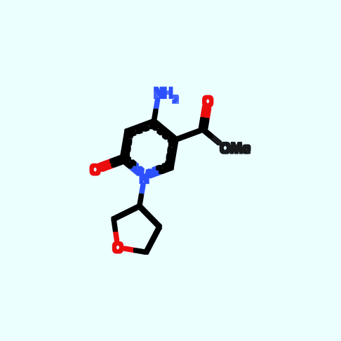 COC(=O)c1cn(C2CCOC2)c(=O)cc1N